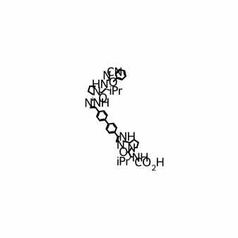 CC(C)[C@H](NC(=O)O)C(=O)N1CCCC1c1ncc(-c2ccc(-c3ccc(-c4cnc([C@@H]5CCCN5C(=O)[C@@H](NC(=NC#N)Oc5ccccc5)C(C)C)[nH]4)cc3)cc2)[nH]1